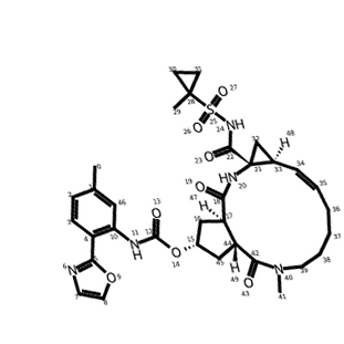 Cc1ccc(-c2ncco2)c(NC(=O)O[C@@H]2C[C@H]3C(=O)N[C@]4(C(=O)NS(=O)(=O)C5(C)CC5)C[C@H]4/C=C\CCCCN(C)C(=O)[C@@H]3C2)c1